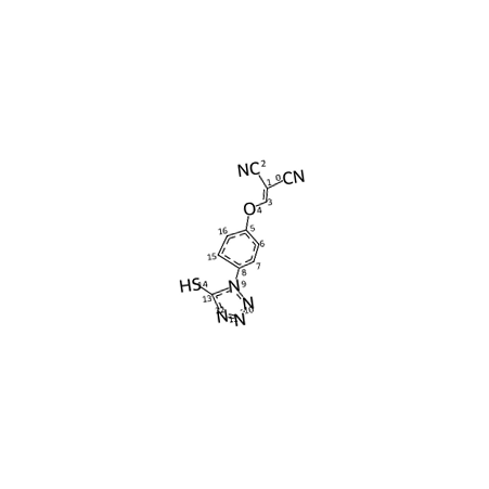 N#CC(C#N)=COc1ccc(-n2nnnc2S)cc1